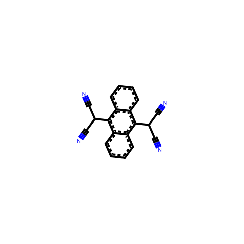 N#CC(C#N)c1c2ccccc2c(C(C#N)C#N)c2ccccc12